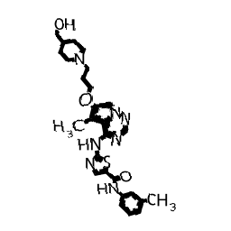 Cc1cccc(NC(=O)c2cnc(Nc3ncnn4cc(OCCCN5CCC(CO)CC5)c(C)c34)s2)c1